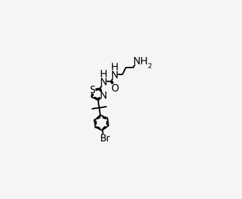 CC(C)(c1ccc(Br)cc1)c1csc(NC(=O)NCCCN)n1